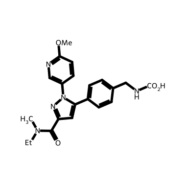 CCN(C)C(=O)c1cc(-c2ccc(CNC(=O)O)cc2)n(-c2ccc(OC)nc2)n1